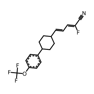 N#CC(F)=CC=CC1CCC(c2ccc(OC(F)(F)F)cc2)CC1